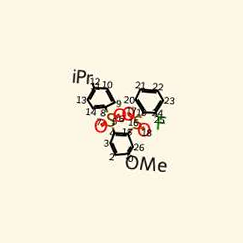 COc1ccc(S(=O)(=O)c2ccc(C(C)C)cc2)c(S(=O)(=O)c2ccccc2F)c1